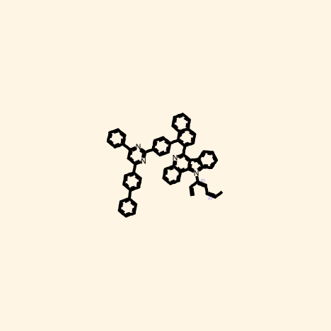 C=C/C(=C\C=C/C)n1c2ccccc2c2c(-c3ccc4ccccc4c3-c3ccc(-c4nc(-c5ccccc5)cc(-c5ccc(-c6ccccc6)cc5)n4)cc3)nc3ccccc3c21